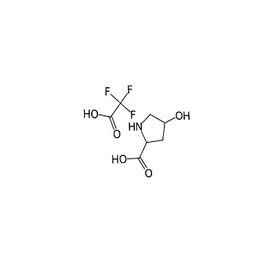 O=C(O)C(F)(F)F.O=C(O)C1CC(O)CN1